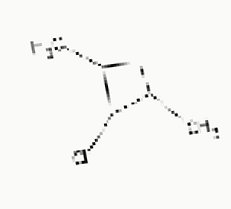 CC1CC(C)C1Cl